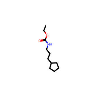 CCOC(=O)NCCCC1CCCC1